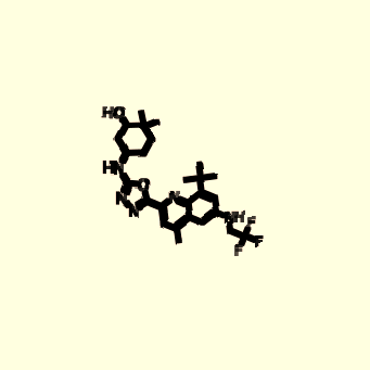 Cc1cc(-c2nnc(NC3CCC(C)(C)C(O)C3)o2)nc2c(C(C)(C)C)cc(NCC(F)(F)F)cc12